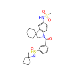 CC1(/N=[SH](=O)/c2cccc(C(=O)N3CC4(CCCCC4)c4cc(NS(C)(=O)=O)ccc43)c2)CCCC1